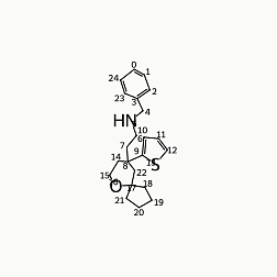 c1ccc(CNCCC2(c3cccs3)CCOC3(CCCC3)C2)cc1